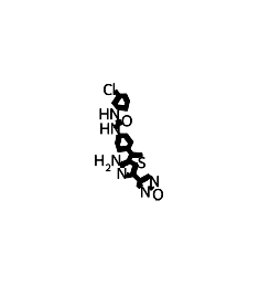 COc1ncc(-c2cnc(N)c3c(-c4ccc(NC(=O)Nc5cccc(Cl)c5)cc4)csc23)cn1